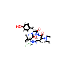 CC[C@H](C)[C@@H](C(=O)NC(=O)[C@H](Cc1ccc(O)cc1)NC(=O)[C@@H](N)C(C)C)N(CC)CC.Cl